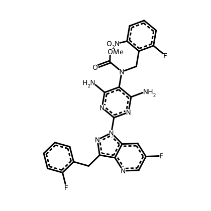 COC(=O)N(Cc1c(F)cccc1[N+](=O)[O-])c1c(N)nc(-n2nc(Cc3ccccc3F)c3ncc(F)cc32)nc1N